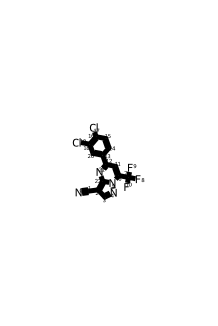 N#Cc1cnn2c(C(F)(F)F)cc(-c3ccc(Cl)c(Cl)c3)nc12